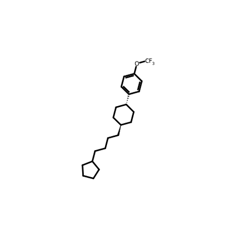 FC(F)(F)Oc1ccc([C@H]2CC[C@H](CCCCC3CCCC3)CC2)cc1